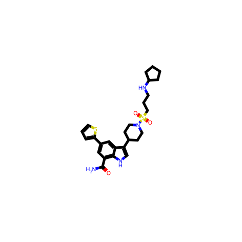 NC(=O)c1cc(-c2cccs2)cc2c(C3CCN(S(=O)(=O)CCCNC4CCCC4)CC3)c[nH]c12